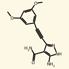 COc1cc(C#Cc2n[nH]c(N)c2C(N)=O)cc(OC)c1